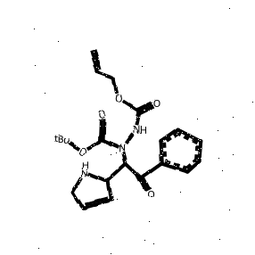 C=CCOC(=O)NN(C(=O)OC(C)(C)C)C(C(=O)c1ccccc1)C1C=CCN1